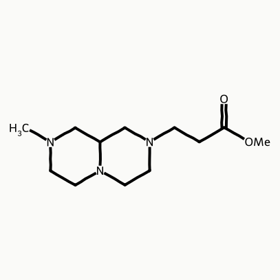 COC(=O)CCN1CCN2CCN(C)CC2C1